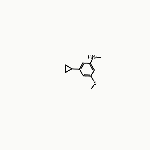 CNc1cc(SC)cc(C2CC2)c1